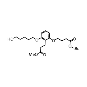 COC(=O)CCc1c(OCCCCCO)cccc1OCCCC(=O)OC(C)(C)C